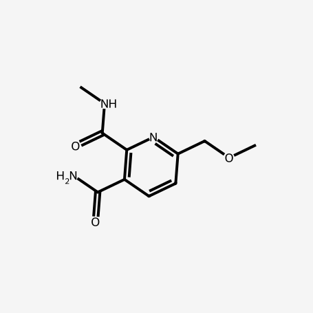 CNC(=O)c1nc(COC)ccc1C(N)=O